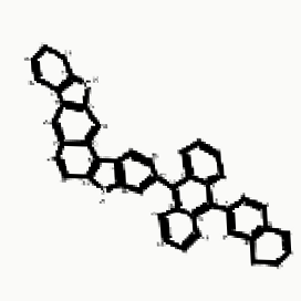 C1=Cc2ccc(-c3c4ccccc4c(-c4ccc5c(c4)sc4ccc6cc7c8c(oc7cc6c45)CCC=C8)c4ccccc34)cc2CC1